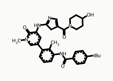 Cc1c(NC(=O)c2ccc(C(C)(C)C)cc2)cccc1-c1cc(NC2=NC=C(C(=O)N3CCC(O)CC3)C2)c(=O)n(C)c1